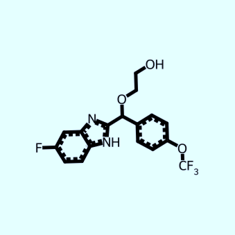 OCCOC(c1ccc(OC(F)(F)F)cc1)c1nc2cc(F)ccc2[nH]1